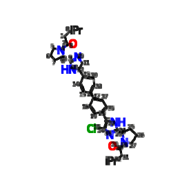 CC(C)CC(=O)N1CCC[C@H]1C1=NCC(c2ccc(-c3ccc(-c4[nH]c([C@@H]5CCCN5C(=O)CC(C)C)nc4Cl)cc3)cc2)N1